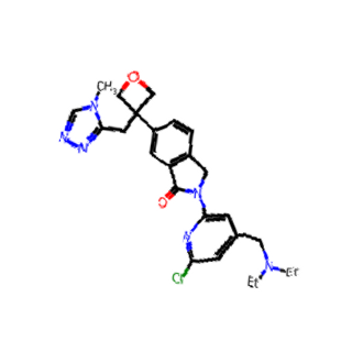 CCN(CC)Cc1cc(Cl)nc(N2Cc3ccc(C4(Cc5nncn5C)COC4)cc3C2=O)c1